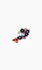 CCOC(=O)c1ccc(NC(=O)c2ccc3c(c2)N(S(=O)(=O)c2cccc(F)c2)CCC3)cc1